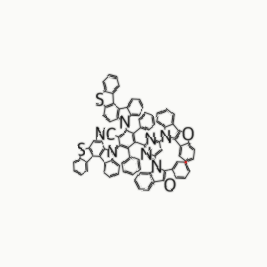 N#Cc1c(-n2c3ccccc3c3c4c(ccc32)sc2ccccc24)c(-c2ccccc2)c(-c2nc(-n3c4ccccc4c4oc5ccccc5c43)cc(-n3c4ccccc4c4oc5ccccc5c43)n2)c(-c2ccccc2)c1-n1c2ccccc2c2c3c(ccc21)sc1ccccc13